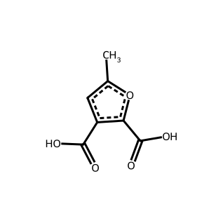 Cc1cc(C(=O)O)c(C(=O)O)o1